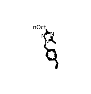 C=Cc1ccc(Cn2nc(CCCCCCCC)nc2C)cc1